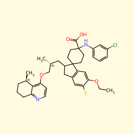 CCOc1cc2c(cc1F)CC(C[C@@H](C)COc1ccnc3c1[C@H](C)CCC3)C21CCC(Nc2cccc(Cl)c2)(C(=O)O)CC1